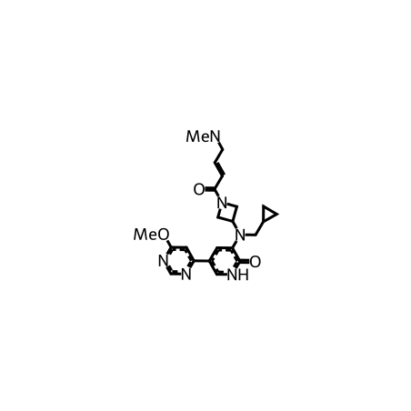 CNC/C=C/C(=O)N1CC(N(CC2CC2)c2cc(-c3cc(OC)ncn3)c[nH]c2=O)C1